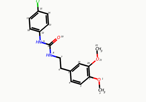 COc1ccc(CCNC(=O)Nc2ccc(Cl)cc2)cc1OC